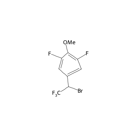 COc1c(F)cc(C(Br)C(F)(F)F)cc1F